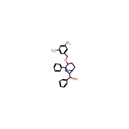 OC(c1ccccc1)C1CC2(c3ccccc3)NC1CCC2OCc1cc(C(F)(F)F)cc(C(F)(F)F)c1